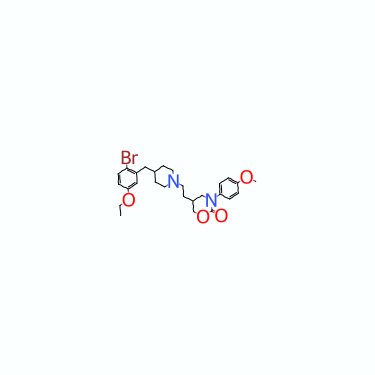 CCOc1ccc(Br)c(CC2CCN(CCC3COC(=O)N(c4ccc(OC)cc4)C3)CC2)c1